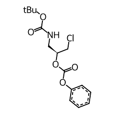 CC(C)(C)OC(=O)NC[C@@H](CCl)OC(=O)Oc1ccccc1